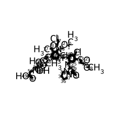 CCOCN(C(=O)CCl)c1c(C)cccc1CC.COC(=O)CSc1cc(/N=c2\sc(=O)n3n2CCCC3)c(F)cc1Cl.C[S+](C)C.O=C(O)CNCP(=O)([O-])O